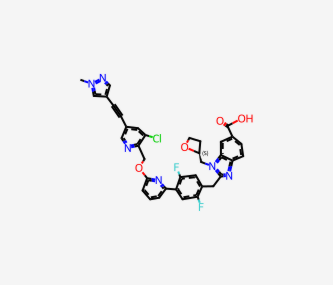 Cn1cc(C#Cc2cnc(COc3cccc(-c4cc(F)c(Cc5nc6ccc(C(=O)O)cc6n5C[C@@H]5CCO5)cc4F)n3)c(Cl)c2)cn1